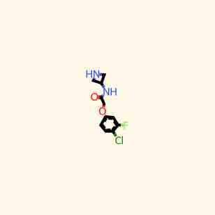 O=C(COc1ccc(Cl)c(F)c1)NC1CNC1